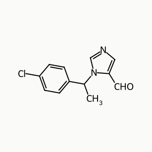 CC(c1ccc(Cl)cc1)n1cncc1C=O